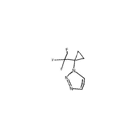 FC(F)(F)C1(n2ccnn2)CC1